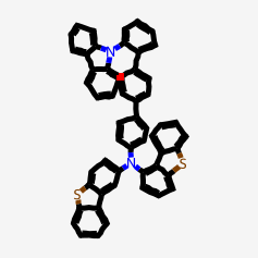 c1ccc(-n2c3ccccc3c3ccccc32)c(-c2ccc(-c3ccc(N(c4ccc5sc6ccccc6c5c4)c4cccc5sc6ccccc6c45)cc3)cc2)c1